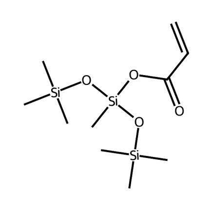 C=CC(=O)O[Si](C)(O[Si](C)(C)C)O[Si](C)(C)C